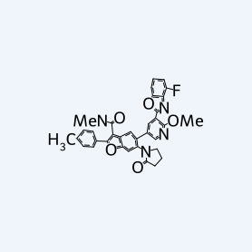 CNC(=O)c1c(-c2ccc(C)cc2)oc2cc(N3CCCC3=O)c(-c3cnc(OC)c(-c4nc5c(F)cccc5o4)c3)cc12